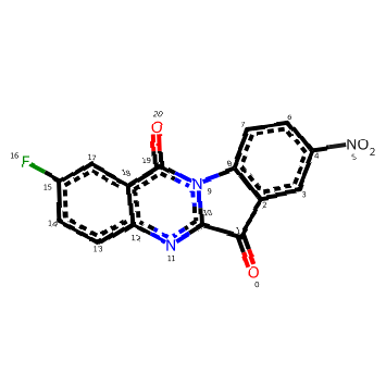 O=C1c2cc([N+](=O)[O-])ccc2-n2c1nc1ccc(F)cc1c2=O